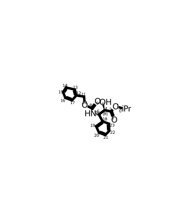 CC(C)OC(=O)[C@H](O)[C@@H](NC(=O)OCc1ccccc1)c1ccccc1